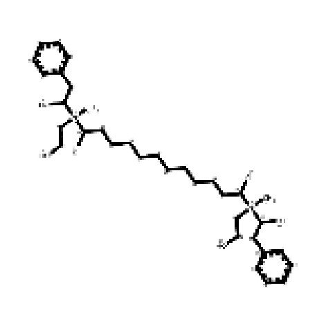 C[N+](CCO)(C(O)Cc1ccccc1)C(Cl)CCCCCCCCCCC(Cl)[N+](C)(CCO)C(O)Cc1ccccc1